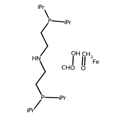 C=O.CC(C)P(CCNCCP(C(C)C)C(C)C)C(C)C.O=CO.[Fe]